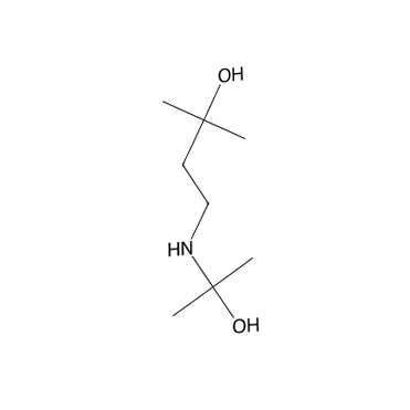 CC(C)(O)CCNC(C)(C)O